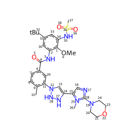 COc1c(NC(=O)c2ccc(C)c(N3C=C(c4cnc(N5CCOCC5)n4C)NN3)c2)cc(C(C)(C)C)cc1NS(C)(=O)=O